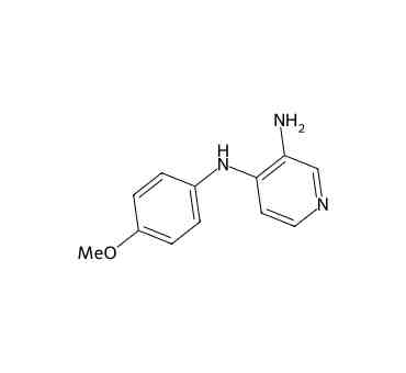 COc1ccc(Nc2ccncc2N)cc1